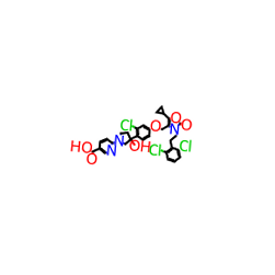 O=C(O)c1ccc(N2CCC(O)(c3ccc(OCc4c(C5CC5)oc(=O)n4CCc4c(Cl)cccc4Cl)cc3Cl)C2)nc1